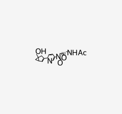 CC(=O)NC[C@H]1CN(c2ccc(C3=CC4CC4(CO)C3)nc2)C(=O)O1